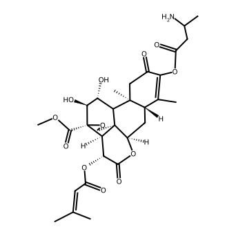 COC(=O)[C@@]12OC[C@]34C([C@@H](O)[C@@H]1O)[C@@]1(C)CC(=O)C(OC(=O)CC(C)N)=C(C)[C@@H]1C[C@H]3OC(=O)[C@H](OC(=O)C=C(C)C)[C@@H]24